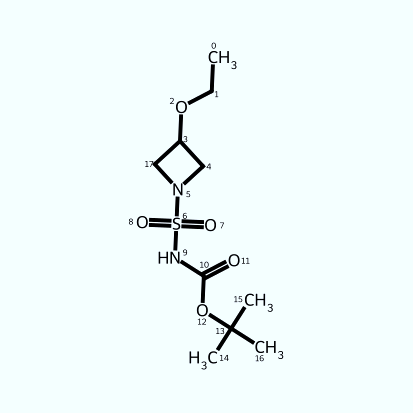 CCOC1CN(S(=O)(=O)NC(=O)OC(C)(C)C)C1